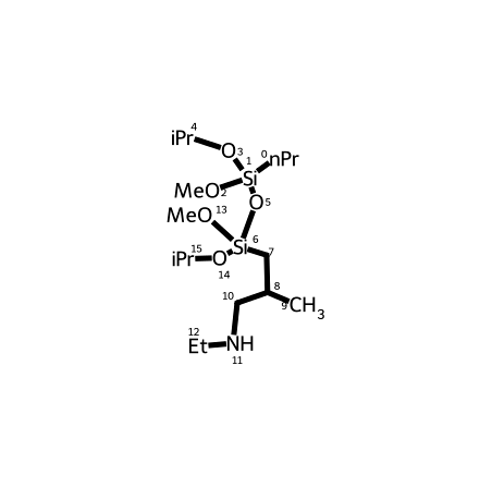 CCC[Si](OC)(OC(C)C)O[Si](CC(C)CNCC)(OC)OC(C)C